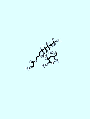 C=C(CC(C)CS(=O)(=O)O)C(N)=O.C=CC(=O)OCC(O)CC(F)(F)C(F)(F)C(F)(F)C(F)(F)C(F)(F)C(F)(F)F